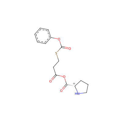 O=C(CCSC(=O)Oc1ccccc1)OC(=O)[C@@H]1CCCN1